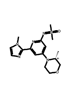 C[C@@H]1COCCN1c1cc(N=S(C)(C)=O)nc(-c2nccn2C)c1